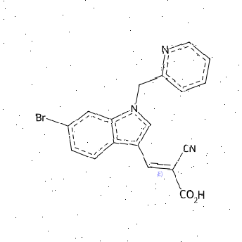 N#C/C(=C\c1cn(Cc2ccccn2)c2cc(Br)ccc12)C(=O)O